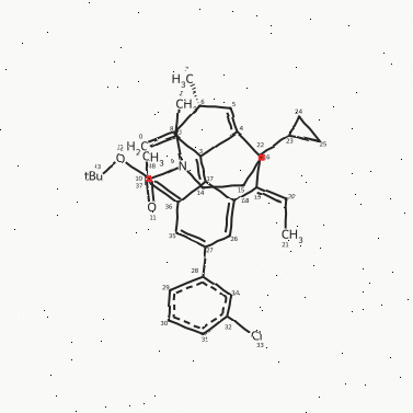 C=C(C)C(/C1=C\[C@@H](C)CN(C(=O)OC(C)(C)C)CCC1)=C1/C(/C(=C\C)CC2CC2)=CC(c2cccc(Cl)c2)=C/C1=N/C